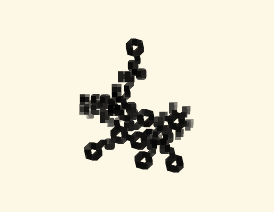 CC(C)(C)OC(=O)N[C@@H](CCCNC(=O)OCc1ccccc1)C(=O)N[C@@H](Cc1cc(OCc2ccccc2)cc(-c2ccc(OCc3ccccc3)c(C[C@H](NC(=O)OCc3ccccc3)C(=O)Oc3c(F)c(F)c(F)c(F)c3F)c2)c1)C(=O)OCc1ccccc1